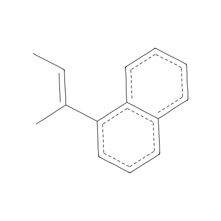 CC=C(C)c1cccc2ccccc12